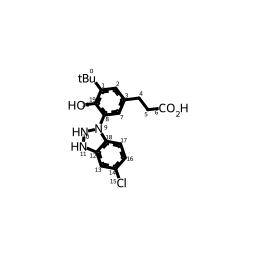 CC(C)(C)c1cc(CCC(=O)O)cc(N2NNc3cc(Cl)ccc32)c1O